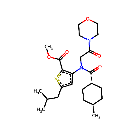 COC(=O)c1sc(CC(C)C)cc1N(CC(=O)N1CCOCC1)C(=O)[C@H]1CC[C@H](C)CC1